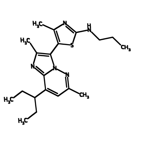 CCCNc1nc(C)c(-c2c(C)nc3c(C(CC)CC)cc(C)nn23)s1